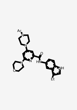 CCc1c[nH]c2ccc(NC(=O)c3cc(N4CCN(C(C)=O)CC4)cc(N4CCOCC4)n3)cc12